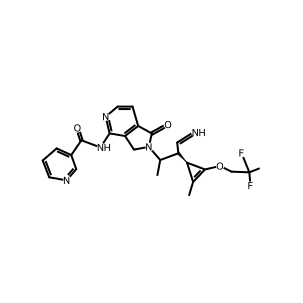 CC1=C(OCC(C)(F)F)[C@@H]1C(C=N)C(C)N1Cc2c(ccnc2NC(=O)c2cccnc2)C1=O